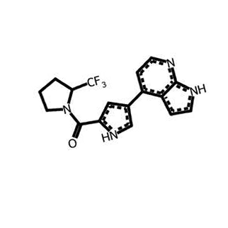 O=C(c1cc(-c2ccnc3[nH]ccc23)c[nH]1)N1CCCC1C(F)(F)F